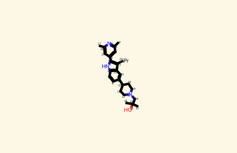 Cc1cc(-c2[nH]c3ccc(C4CCN(CC(C)(C)O)CC4)cc3c2C(C)C)cc(C)n1